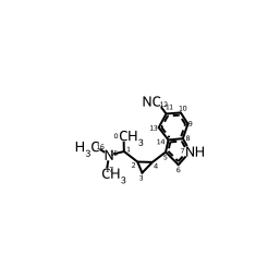 CC(C1CC1c1c[nH]c2ccc(C#N)cc12)N(C)C